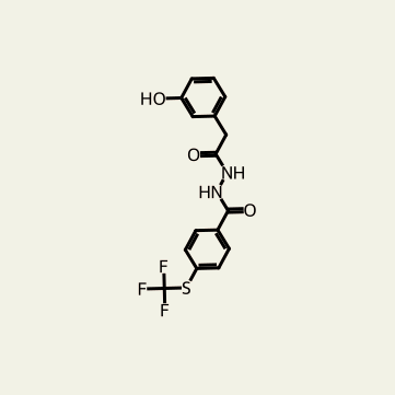 O=C(Cc1cccc(O)c1)NNC(=O)c1ccc(SC(F)(F)F)cc1